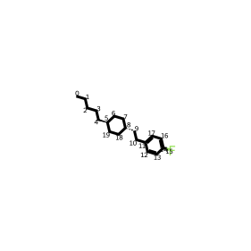 CCCCC[C@H]1CC[C@H](CCc2ccc(F)cc2)CC1